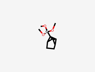 CO[Si](OC)(OC)C1=CC2CCC1C2